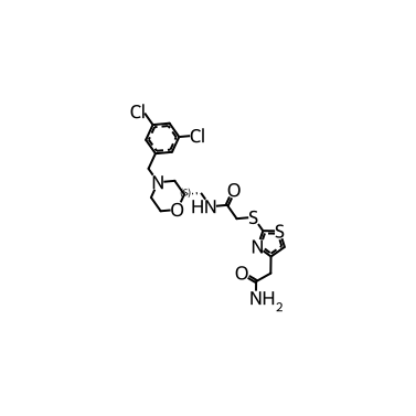 NC(=O)Cc1csc(SCC(=O)NC[C@H]2CN(Cc3cc(Cl)cc(Cl)c3)CCO2)n1